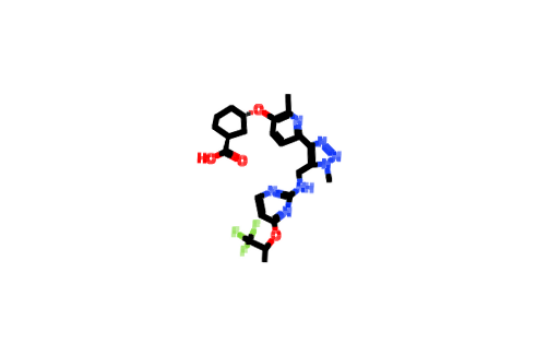 Cc1nc(-c2nnn(C)c2CNc2nccc(OC(C)C(F)(F)F)n2)ccc1O[C@H]1CCC[C@H](C(=O)O)C1